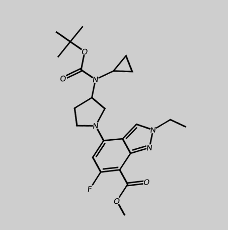 CCn1cc2c(N3CCC(N(C(=O)OC(C)(C)C)C4CC4)C3)cc(F)c(C(=O)OC)c2n1